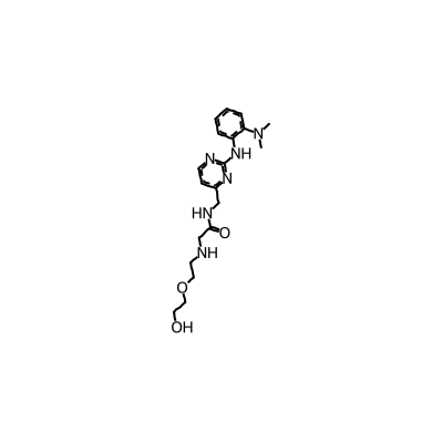 CN(C)c1ccccc1Nc1nccc(CNC(=O)CNCCOCCO)n1